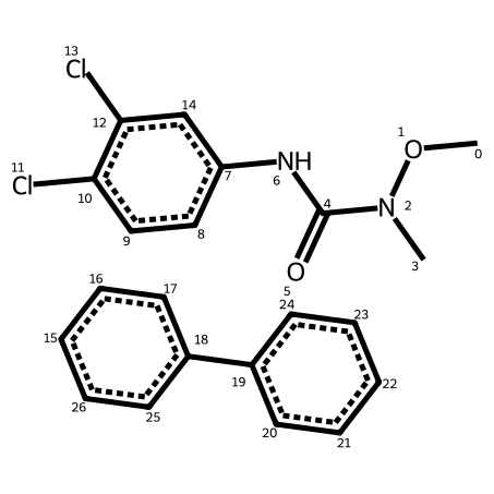 CON(C)C(=O)Nc1ccc(Cl)c(Cl)c1.c1ccc(-c2ccccc2)cc1